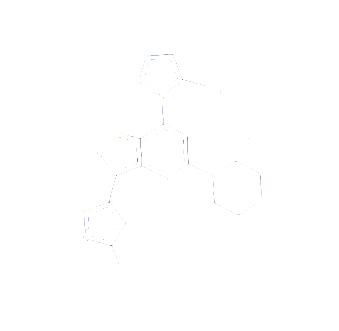 Cc1cc(-c2nsc3c(-n4nncc4C(F)(F)F)cc(N4CCOC[C@H]4C)nc23)[nH]n1